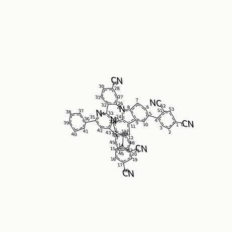 N#Cc1ccc(-c2ccc3c(c2)c2cc(-c4ccc(C#N)cc4C#N)ccc2n3-c2cc(C#N)ccc2-c2nc(-c3ccccc3)cc(-c3ccccc3)n2)c(C#N)c1